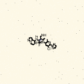 C=C(Nc1cc(Cl)c(-n2nccn2)nc1C)/C(C=N)=C(/Nc1cccn2nccc12)C(F)(F)F